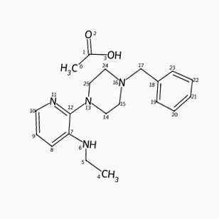 CC(=O)O.CCNc1cccnc1N1CCN(Cc2ccccc2)CC1